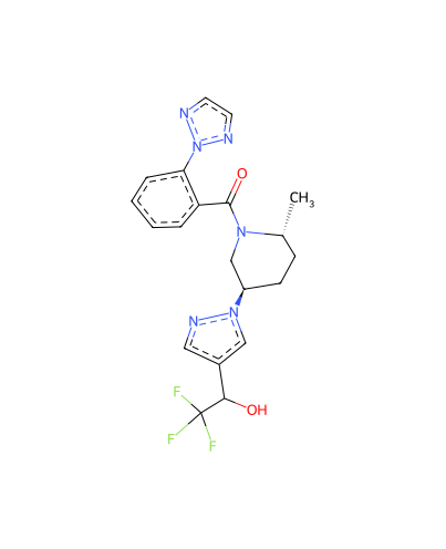 C[C@@H]1CC[C@@H](n2cc(C(O)C(F)(F)F)cn2)CN1C(=O)c1ccccc1-n1nccn1